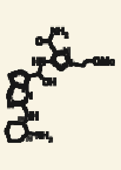 COCCn1cc(NC(O)c2ccc3cnc(N[C@@H]4CCCC[C@@H]4N)nn23)c(C(N)=O)n1